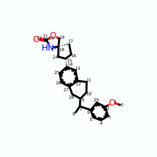 COc1cccc(C(C)C2CCc3cc([C@H]4CC[C@]5(COC(=O)N5)C4)ccc3C2)c1